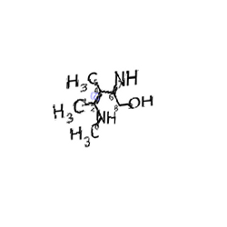 CN/C(C)=C(/C)C(=N)CO